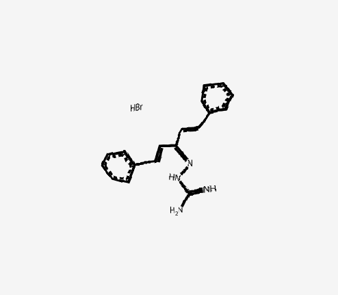 Br.N=C(N)NN=C(C=Cc1ccccc1)C=Cc1ccccc1